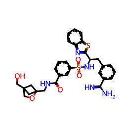 N=C(N)c1cccc(CC(NS(=O)(=O)c2cccc(C(=O)NCC34CC(CO)(CO3)C4)c2)c2nc3ccccc3s2)c1